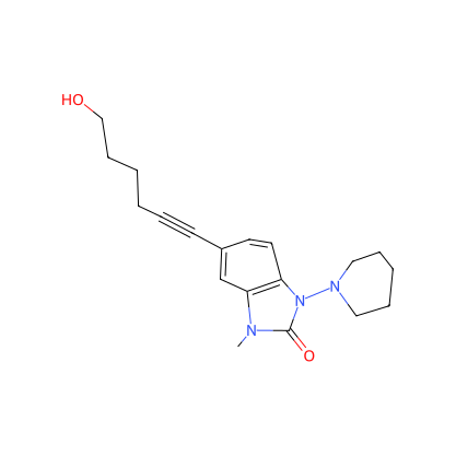 Cn1c(=O)n(N2CCCCC2)c2ccc(C#CCCCCO)cc21